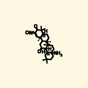 [C-]#[N+]C1=C[C@]2(C)C3CC(=O)[C@@H]4[C@@H]5CC(C)(C)CC[C@]5(N)CC[C@@]4(C)[C@]3(C)CC[C@H]2C(C)(C)C1=O